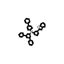 c1ccc(-c2ccc(N(c3cc(-c4ccccc4)cc(-c4ccccc4)c3)c3cccc(-c4cc5ccccc5o4)c3)cc2)cc1